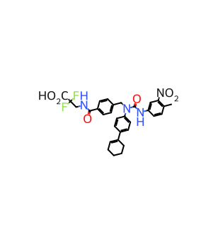 Cc1ccc(NC(=O)N(Cc2ccc(C(=O)NCC(F)(F)C(=O)O)cc2)c2ccc(C3=CCCCC3)cc2)cc1[N+](=O)[O-]